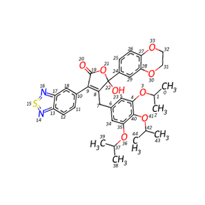 CC(C)Oc1cc(CC2=C(c3ccc4nsnc4c3)C(=O)OC2(O)c2ccc3c(c2)OCCO3)cc(OC(C)C)c1OC(C)C